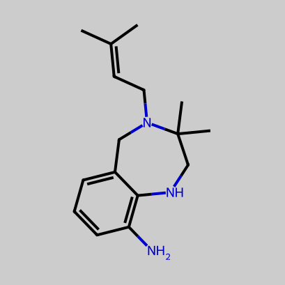 CC(C)=CCN1Cc2cccc(N)c2NCC1(C)C